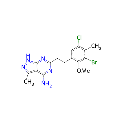 COc1c(CCc2nc(N)c3c(C)n[nH]c3n2)cc(Cl)c(C)c1Br